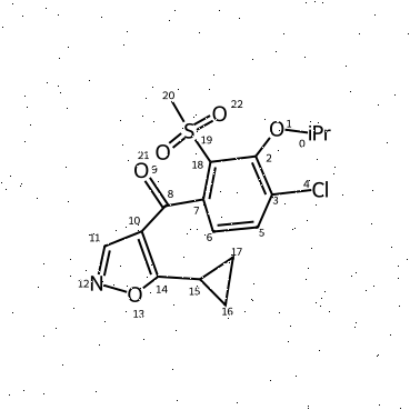 CC(C)Oc1c(Cl)ccc(C(=O)c2cnoc2C2CC2)c1S(C)(=O)=O